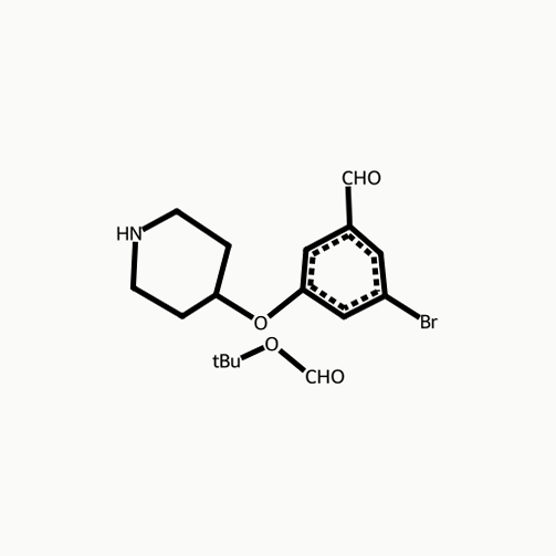 CC(C)(C)OC=O.O=Cc1cc(Br)cc(OC2CCNCC2)c1